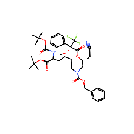 CO[C@](C(=O)O[C@H](CC#N)CN(CCCC[C@H](NC(=O)OC(C)(C)C)C(=O)OC(C)(C)C)C(=O)OCc1ccccc1)(c1ccccc1)C(F)(F)F